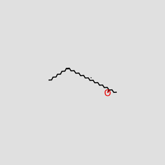 CCCCCCCC/C=C\CCCCCCC[CH]CCCCCCCCC(=O)CCC